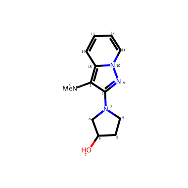 CNc1c(N2CCC(O)C2)nn2ccccc12